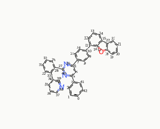 c1ccc(-c2cc(-c3ccc(-c4cccc5c4oc4ccccc45)cc3)nc(-c3ccccc3-c3cccnc3)n2)cc1